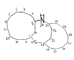 C1CCCCC2CC(CCCC1)SC1CCCCCCCC(CC1)N2